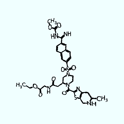 CCOC(=O)CNC(=O)CC1CN(S(=O)(=O)c2ccc3cc(C(=N)NC(=O)OC)ccc3c2)CCN1C(=O)c1nc2c(s1)CNC(C)C2